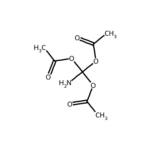 CC(=O)OC(N)(OC(C)=O)OC(C)=O